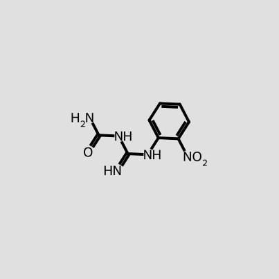 N=C(NC(N)=O)Nc1ccccc1[N+](=O)[O-]